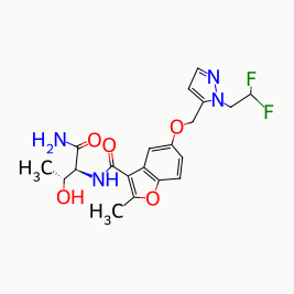 Cc1oc2ccc(OCc3ccnn3CC(F)F)cc2c1C(=O)N[C@H](C(N)=O)[C@@H](C)O